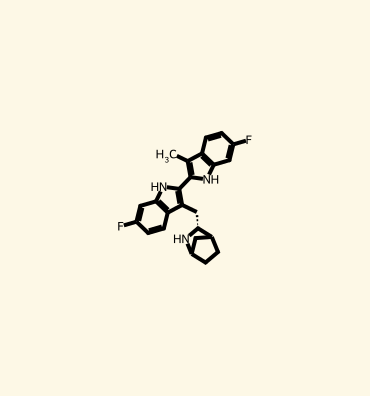 Cc1c(-c2[nH]c3cc(F)ccc3c2C[C@H]2NC3CCC2C3)[nH]c2cc(F)ccc12